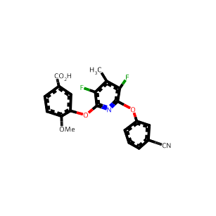 COc1ccc(C(=O)O)cc1Oc1nc(Oc2cccc(C#N)c2)c(F)c(C)c1F